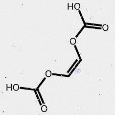 O=C(O)O/C=C\OC(=O)O